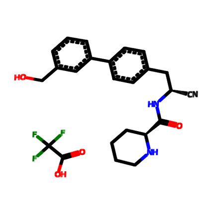 N#C[C@H](Cc1ccc(-c2cccc(CO)c2)cc1)NC(=O)[C@@H]1CCCCN1.O=C(O)C(F)(F)F